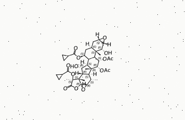 CC(=O)O[C@H]1C2C([C@@H](OC(=O)C3CC3)C[C@H]3C[C@@H]4O[C@@H]4[C@H](O)[C@]23C)[C@@H]2[C@@H](O)[C@@H]3[C@H]([C@H](C)[C@H]4O[C@]45OC(=O)[C@@](C)(OC(=O)C4CC4)[C@]35C)[C@@]2(C)[C@H]1OC(C)=O